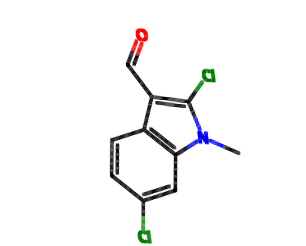 Cn1c(Cl)c(C=O)c2ccc(Cl)cc21